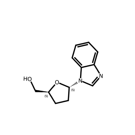 OC[C@@H]1CC[C@@H](n2cnc3ccccc32)O1